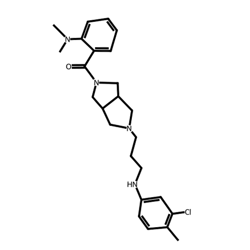 Cc1ccc(NCCCN2CC3CN(C(=O)c4ccccc4N(C)C)CC3C2)cc1Cl